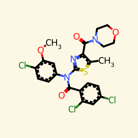 COc1cc(N(C(=O)c2ccc(Cl)cc2Cl)c2nc(C(=O)N3CCOCC3)c(C)s2)ccc1Cl